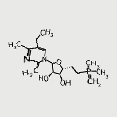 C=C1N=C(C)C(CC)=CN1C1O[C@H](CCP(=C)(C)C)[C@@H](O)[C@H]1O